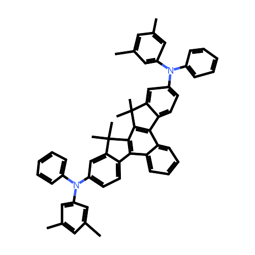 Cc1cc(C)cc(N(c2ccccc2)c2ccc3c(c2)C(C)(C)c2c4c(c5ccccc5c2-3)-c2ccc(N(c3ccccc3)c3cc(C)cc(C)c3)cc2C4(C)C)c1